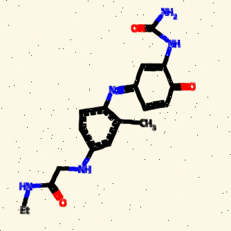 CCNC(=O)CNc1ccc(N=C2C=CC(=O)C(NC(N)=O)=C2)c(C)c1